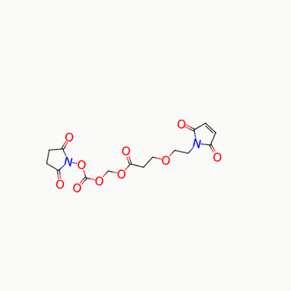 O=C(CCOCCN1C(=O)C=CC1=O)OCOC(=O)ON1C(=O)CCC1=O